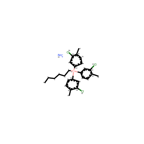 CCCCCC[B-](c1ccc(C)c(Cl)c1)(c1ccc(C)c(Cl)c1)c1ccc(C)c(Cl)c1.[NH4+]